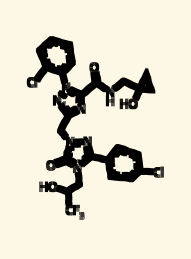 O=C(NCC1(O)CC1)c1nc(Cn2nc(-c3ccc(Cl)cc3)n(CC(O)C(F)(F)F)c2=O)nn1-c1ccccc1Cl